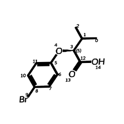 CC(C)[C@H](Oc1ccc(Br)cc1)C(=O)O